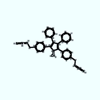 C[SiH]1C(c2ccc(CN=[N+]=[N-])cc2)=C(c2ccccc2)C(c2ccccc2)=C1c1ccc(CN=[N+]=[N-])cc1